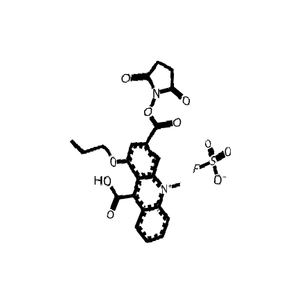 CCCOc1cc(C(=O)ON2C(=O)CCC2=O)cc2c1c(C(=O)O)c1ccccc1[n+]2C.O=S(=O)([O-])F